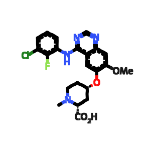 COc1cc2ncnc(Nc3cccc(Cl)c3F)c2cc1O[C@H]1CCN(C)[C@@H](C(=O)O)C1